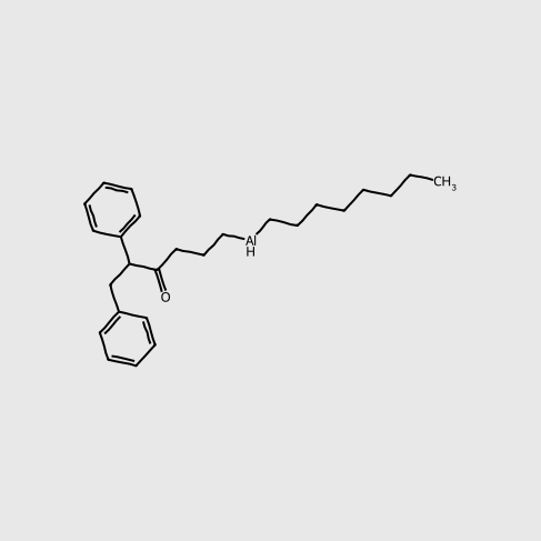 CCCCCCC[CH2][AlH][CH2]CCC(=O)C(Cc1ccccc1)c1ccccc1